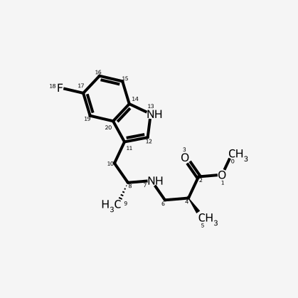 COC(=O)[C@@H](C)CN[C@H](C)Cc1c[nH]c2ccc(F)cc12